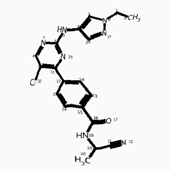 CCn1cc(Nc2ncc(Cl)c(-c3ccc(C(=O)NC(C)C#N)cc3)n2)cn1